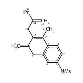 C=C1Cc2cc(NC)ccc2C(C)=C1CC(=C)C(C)C